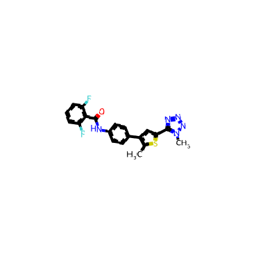 Cc1sc(-c2nnnn2C)cc1-c1ccc(NC(=O)c2c(F)cccc2F)cc1